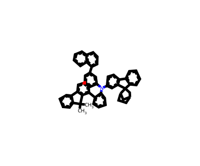 CC1(C)c2ccccc2-c2cccc(-c3ccccc3N(c3cccc(-c4cccc5ccccc45)c3)c3ccc4c(c3)C3(CC5CCC3C5)c3ccccc3-4)c21